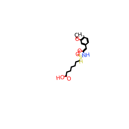 COc1cccc(/C=C2/N[SH](CCCCCCC(=O)O)OO2)c1